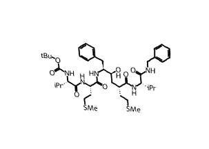 CSCC[C@H](C[C@H](O)[C@H](Cc1ccccc1)NC(=O)[C@H](CCSC)NC(=O)[C@@H](NC(=O)OC(C)(C)C)C(C)C)C(=O)N[C@H](C(=O)NCc1ccccc1)C(C)C